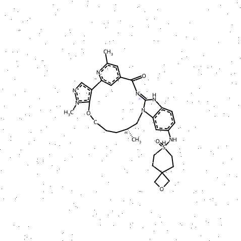 Cc1cc2cc(n1)-c1cnn(C)c1OCCC[C@@H](C)CN1/C(=N/C2=O)Nc2ccc(N[SH]3(=O)CCC4(CC3)COC4)cc21